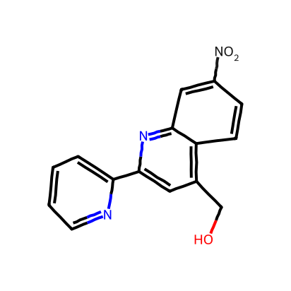 O=[N+]([O-])c1ccc2c(CO)cc(-c3ccccn3)nc2c1